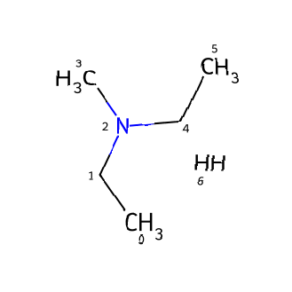 CCN(C)CC.[HH]